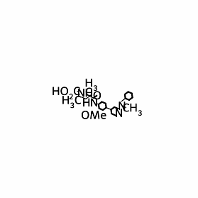 COc1cc(NC(=O)C(C)CC(C)NC(=O)O)ccc1-c1ccnc(N(C)Cc2ccccc2)c1